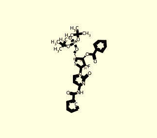 CC(C)(C)OP(=O)(OC[C@H]1SC(n2ccc(NC(=O)c3ccccc3)nc2=O)[C@@H](F)[C@@H]1OC(=O)c1ccccc1)OC(C)(C)C